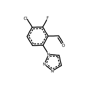 O=Cc1c(-n2ccnn2)ccc(Cl)c1F